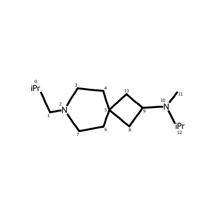 CC(C)CN1CCC2(CC1)CC(N(C)C(C)C)C2